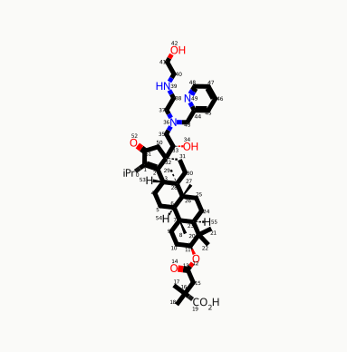 CC(C)C1=C2[C@H]3CC[C@@H]4[C@@]5(C)CC[C@H](OC(=O)CC(C)(C)C(=O)O)C(C)(C)[C@@H]5CC[C@@]4(C)[C@]3(C)CC[C@@]2([C@@H](O)CN(CCNCCO)Cc2ccccn2)CC1=O